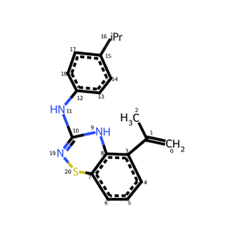 C=C(C)c1cccc2c1NC(Nc1ccc(C(C)C)cc1)=NS2